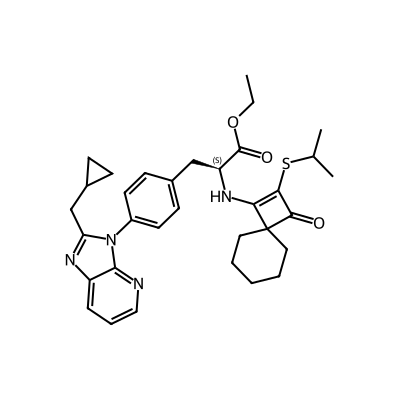 CCOC(=O)[C@H](Cc1ccc(-n2c(CC3CC3)nc3cccnc32)cc1)NC1=C(SC(C)C)C(=O)C12CCCCC2